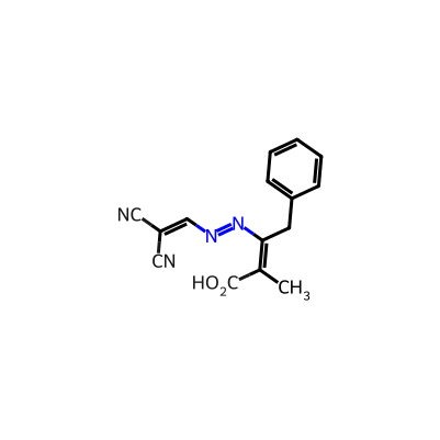 CC(C(=O)O)=C(Cc1ccccc1)N=NC=C(C#N)C#N